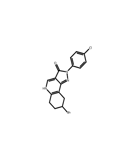 CC(C)C1CCc2[nH]cc3c(=O)n(-c4ccc(Cl)cc4)nc-3c2C1